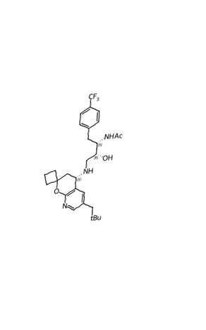 CC(=O)N[C@@H](Cc1ccc(C(F)(F)F)cc1)[C@H](O)CN[C@H]1CC2(CCC2)Oc2ncc(CC(C)(C)C)cc21